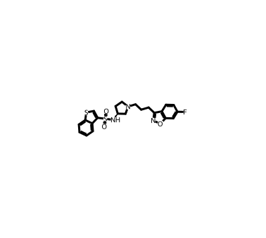 O=S(=O)(N[C@H]1CCN(CCCc2noc3cc(F)ccc23)C1)c1csc2ccccc12